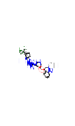 Cc1cc(Oc2cccc(-c3nnc(Nc4cccc(C(F)(F)F)c4)[nH]3)c2)c2ccccc2n1